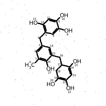 Cc1cc(Cc2cc(O)c(O)cc2O)cc(CC2CC(O)=C(O)C=C2O)c1O